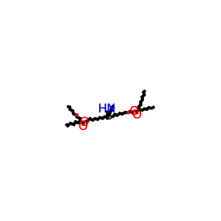 CCCCCCCCC(CCCCCC)C(=O)OCCCCCCCCCB(CCCCCCCCCOC(=O)C(CCCCCC)CCCCCCCC)CCNC